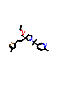 CCOC[C@@]1(CCc2cc(C)cs2)CCN(C(C)(C)c2ccc(C)nc2)C1